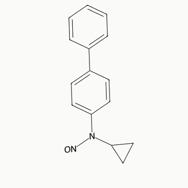 O=NN(c1ccc(-c2ccccc2)cc1)C1CC1